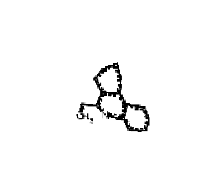 C=Cc1nc2ccccc2c2ccccc12